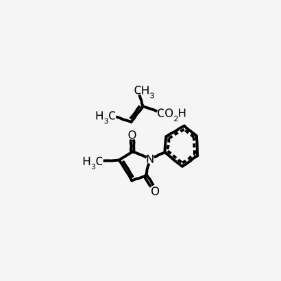 CC1=CC(=O)N(c2ccccc2)C1=O.CC=C(C)C(=O)O